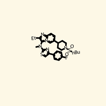 CCCCS(=O)(=O)N1CCC(c2ccc3nc(CC)c(N(C)c4nc(-c5ccc(F)cc5)cs4)n3c2)CC1